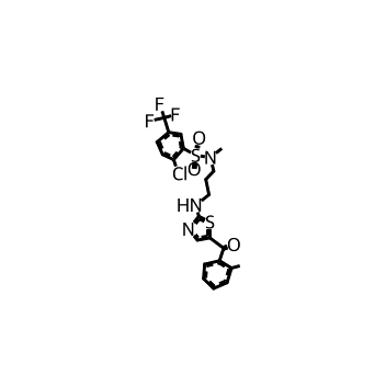 Cc1ccccc1C(=O)c1cnc(NCCCN(C)S(=O)(=O)c2cc(C(F)(F)F)ccc2Cl)s1